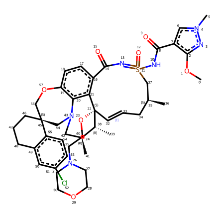 COc1nn(C)cc1C(=O)NS1(=O)=NC(=O)c2ccc3c4c2[C@@](OCCN2CCOCC2)(/C=C/C[C@H](C)C1)[C@H](C)[C@@H](C)CN4C[C@@]1(CCCc2cc(Cl)ccc21)CO3